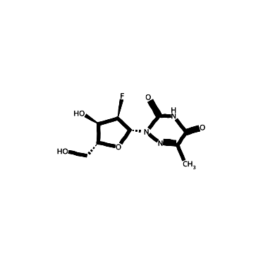 Cc1nn([C@@H]2O[C@H](CO)[C@@H](O)[C@H]2F)c(=O)[nH]c1=O